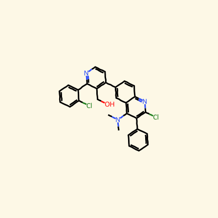 CN(C)c1c(-c2ccccc2)c(Cl)nc2ccc(-c3ccnc(-c4ccccc4Cl)c3CO)cc12